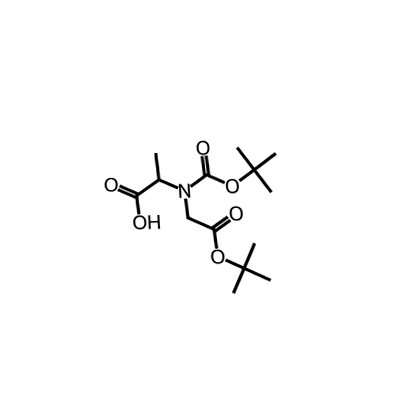 CC(C(=O)O)N(CC(=O)OC(C)(C)C)C(=O)OC(C)(C)C